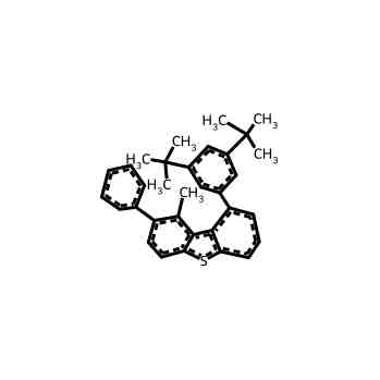 Cc1c(-c2ccccc2)ccc2sc3cccc(-c4cc(C(C)(C)C)cc(C(C)(C)C)c4)c3c12